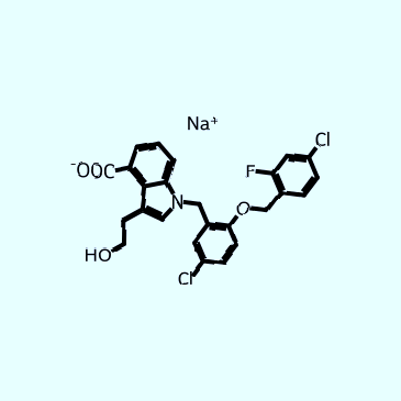 O=C([O-])c1cccc2c1c(CCO)cn2Cc1cc(Cl)ccc1OCc1ccc(Cl)cc1F.[Na+]